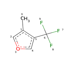 Cc1cocc1C(F)(F)F